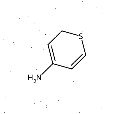 NC1=CCSC=C1